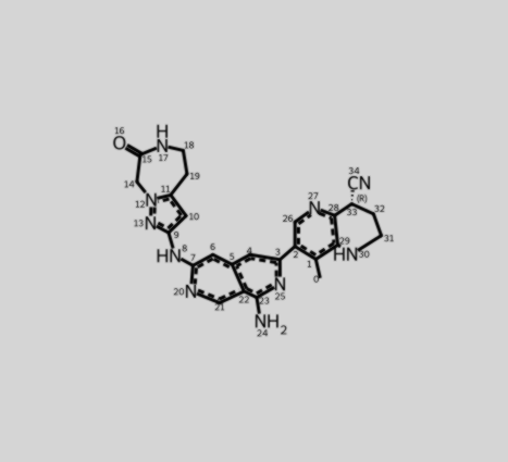 Cc1c(-c2cc3cc(Nc4cc5n(n4)CC(=O)NCC5)ncc3c(N)n2)cnc2c1NCC[C@H]2C#N